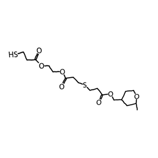 CC1CC(COC(=O)CCSCCC(=O)OCCOC(=O)CCS)CCO1